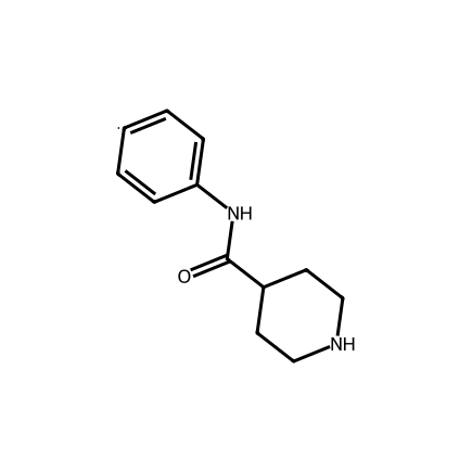 O=C(Nc1cc[c]cc1)C1CCNCC1